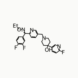 CCO/N=C(\c1ccc(F)c(F)c1)c1ccc(CN2CCC(O)(c3ccc(F)nc3)CC2)cn1